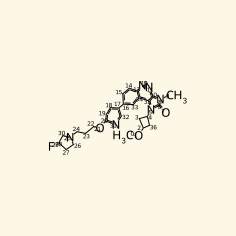 COC1CC(n2c(=O)n(C)c3nnc4ccc(-c5ccc(OCCCN6CC[C@H](F)C6)nc5)cc4c32)C1